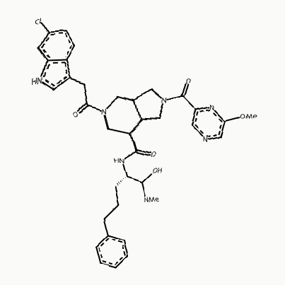 CNC(O)[C@H](CCCc1ccccc1)NC(=O)C1CN(C(=O)Cc2c[nH]c3cc(Cl)ccc23)CC2CN(C(=O)c3cncc(OC)n3)CC21